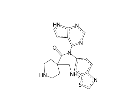 NCC1(C(=O)N(c2ccc3ncsc3c2)c2ncnc3[nH]ccc23)CCNCC1